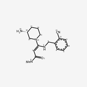 CNC(=O)/C=C(\NCc1ccccc1C#N)N1CCC[C@@H](N)C1